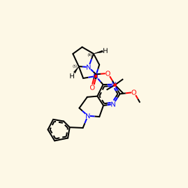 COc1nc2c(c(N3C[C@H]4CC[C@@H](C3)N4C(=O)OC(C)(C)C)n1)CCN(Cc1ccccc1)C2